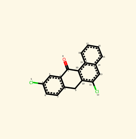 O=C1c2cc(Cl)ccc2Cc2c(Cl)cc3ccccc3c21